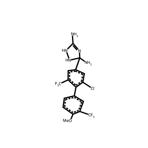 COc1ccc(-c2c(Cl)cc(C3(N)N=C(N)NN3)cc2C(F)(F)F)cc1C(F)(F)F